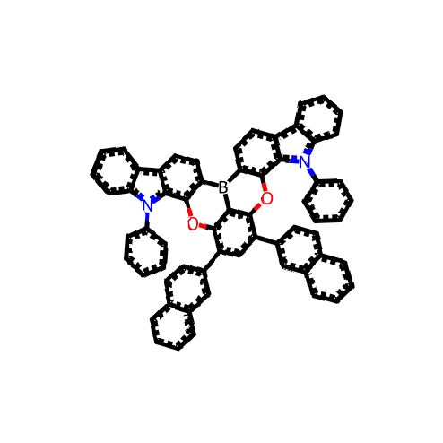 c1ccc(-n2c3ccccc3c3ccc4c(c32)Oc2c(-c3ccc5ccccc5c3)cc(-c3ccc5ccccc5c3)c3c2B4c2ccc4c5ccccc5n(-c5ccccc5)c4c2O3)cc1